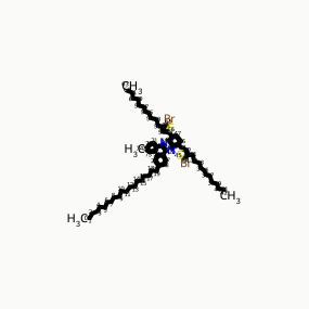 CCCCCCCCCCCCCCCCCCCCc1ccc(-c2nc3c(-c4cc(CCCCCCCCCCCC)c(Br)s4)ccc(-c4cc(CCCCCCCCCCCC)c(Br)s4)c3nc2-c2ccc(C)cc2)cc1